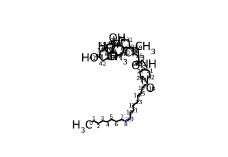 CCCCCCCC/C=C\CCCCCCCC(=O)N1CCC(NC(=O)CC[C@@H](C)C2CC[C@H]3[C@@H]4[C@H](O)C[C@@H]5C[C@H](O)CC[C@]5(C)[C@H]4CC[C@]23C)CC1